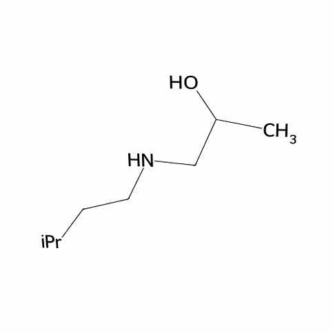 CC(C)CCNCC(C)O